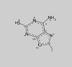 Cc1nc2c(N)nc(S)nc2o1